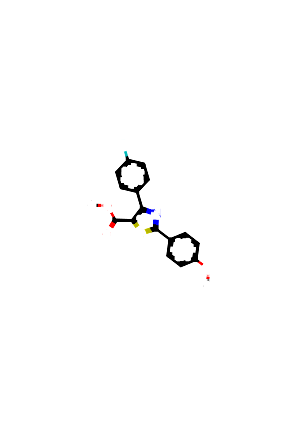 COC(=O)c1sc(-c2ccc(OC)cc2)nc1-c1ccc(F)cc1